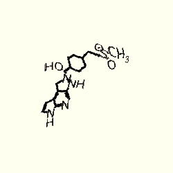 CS(=O)(=O)CCC1CCC(C(O)N2Cc3c(cnc4[nH]ccc34)N2)CC1